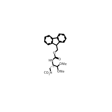 COC(OC)[C@H](CC(=O)O)NC(=O)OCC1c2ccccc2-c2ccccc21